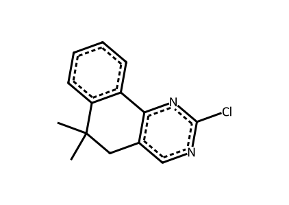 CC1(C)Cc2cnc(Cl)nc2-c2ccccc21